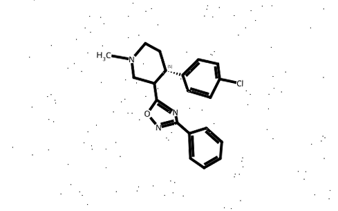 CN1CC[C@H](c2ccc(Cl)cc2)C(c2nc(-c3ccccc3)no2)C1